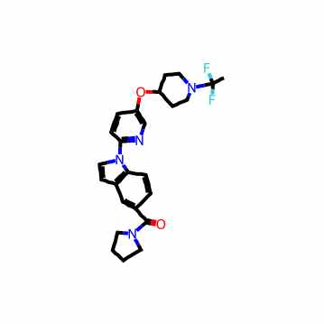 CC(F)(F)N1CCC(Oc2ccc(-n3ccc4cc(C(=O)N5CCCC5)ccc43)nc2)CC1